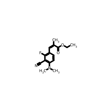 CCOC(=O)C(C)=Cc1ccc(N(C)C)c(C#N)c1F